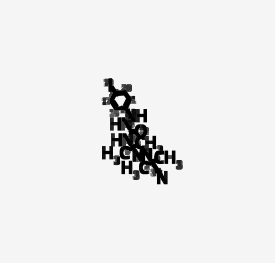 CC(C)(C#N)N=NC(C)(C)NC(=O)NNc1ccc(I)cc1